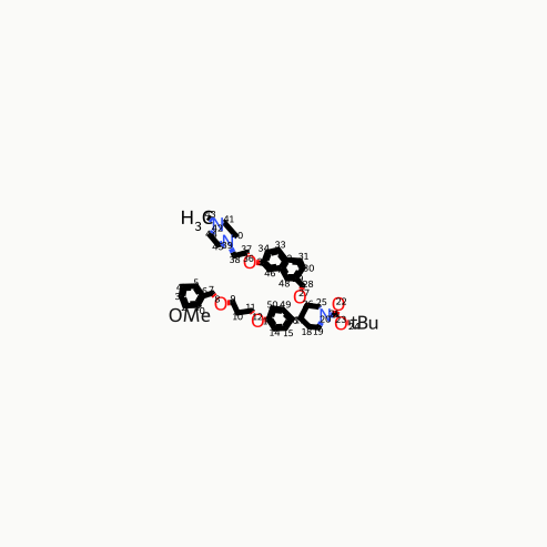 COc1ccccc1COCCCOc1ccc([C@H]2CCN(C(=O)OC(C)(C)C)C[C@@H]2OCc2ccc3ccc(OCCN4CCN(C)CC4)cc3c2)cc1